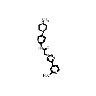 Cc1cc(-c2cn(CC(=O)Nc3ccc(N4CCN(C)CC4)cn3)cn2)ccn1